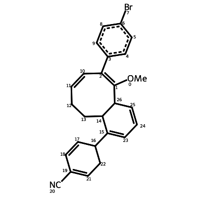 CO/C1=C(c2ccc(Br)cc2)/C=C\CCC2C(C3C=CC(C#N)=CC3)=CC=CC12